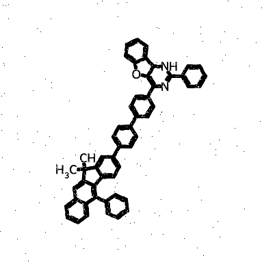 CC1(C)c2cc(-c3ccc(-c4ccc(C5=C6Oc7ccccc7C6NC(c6ccccc6)=N5)cc4)cc3)ccc2-c2c1cc1ccccc1c2-c1ccccc1